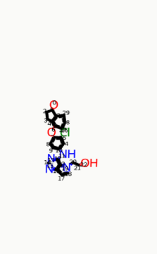 O=C1CCc2c(Oc3ccc(Nc4ncnc5ccn(CCO)c45)cc3Cl)cccc21